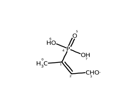 CC(=C[C]=O)P(=O)(O)O